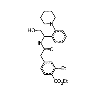 CCOC(=O)c1ccc(CC(=O)NC(CO)c2ccccc2N2CCCCC2)cc1CC